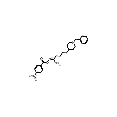 N/C(CCCCC1CCN(Cc2ccccc2)CC1)=N\OC(=O)c1ccc([N+](=O)[O-])cc1